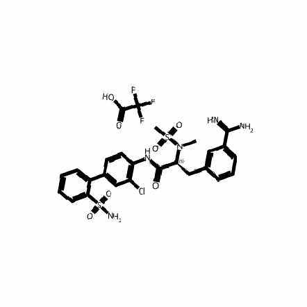 CN([C@@H](Cc1cccc(C(=N)N)c1)C(=O)Nc1ccc(-c2ccccc2S(N)(=O)=O)cc1Cl)S(C)(=O)=O.O=C(O)C(F)(F)F